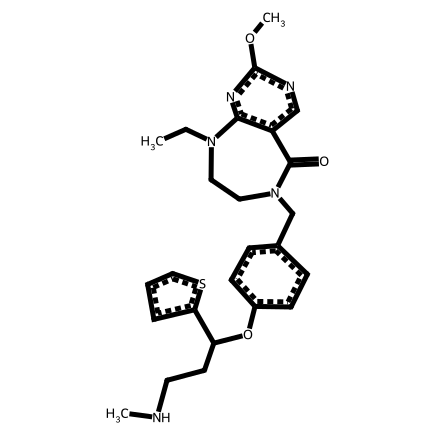 CCN1CCN(Cc2ccc(OC(CCNC)c3cccs3)cc2)C(=O)c2cnc(OC)nc21